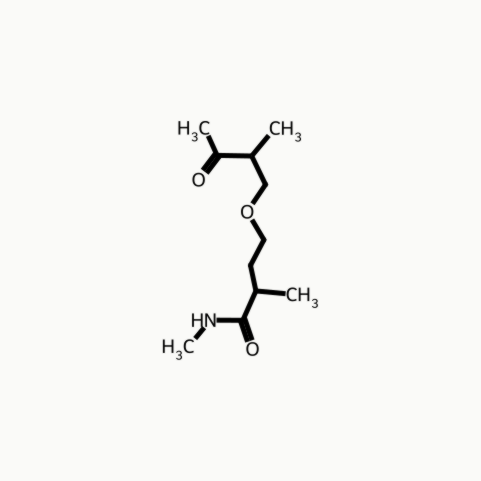 CNC(=O)C(C)CCOCC(C)C(C)=O